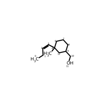 CC/C=C\C1(C)CCCC(CO)C1